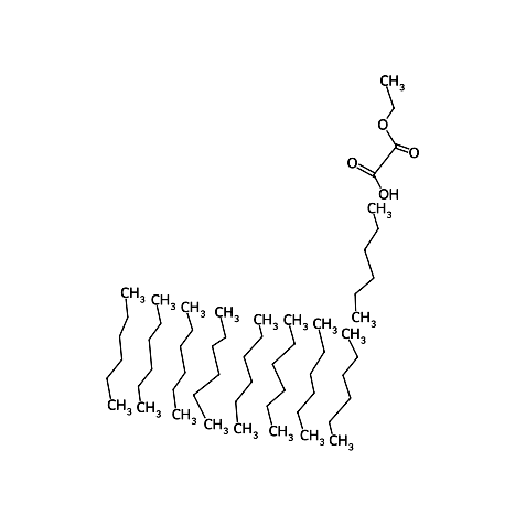 CCCCCC.CCCCCC.CCCCCC.CCCCCC.CCCCCC.CCCCCC.CCCCCC.CCCCCC.CCCCCC.CCOC(=O)C(=O)O